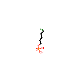 O=P(O)(O)OCCCCCCl